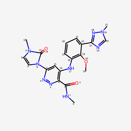 CNC(=O)c1nnc(-n2ccn(C)c2=O)cc1Nc1cccc(-c2ncn(C)n2)c1OC